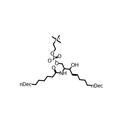 CCCCCCCCCCCCCC=CC(O)C(COP(=O)([O-])OCC[N+](C)(C)C)NC(=O)CCCCCCCCCCCCCCC